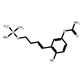 CC(C)(C)[Si](C)(C)OCC/C=C/c1cc(OC(N)=O)ccc1C#N